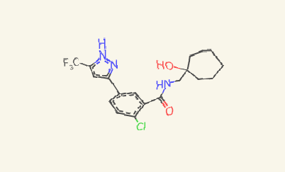 O=C(NCC1(O)CCCCCC1)c1cc(-c2cc(C(F)(F)F)[nH]n2)ccc1Cl